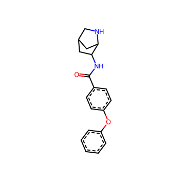 O=C(NC1CC2CNC1C2)c1ccc(Oc2ccccc2)cc1